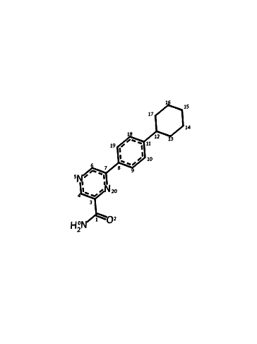 NC(=O)c1cncc(-c2ccc(C3CCCCC3)cc2)n1